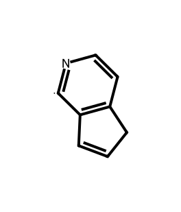 [c]1nccc2c1C=CC2